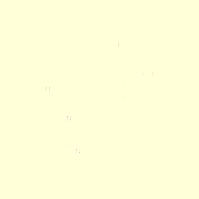 CC(=Cc1ccc(N)nc1C)C(=O)O